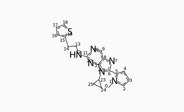 Cn1cccc1-c1nc2cnc(NCCc3cccs3)nc2n1C1CC1